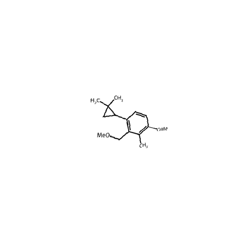 COCc1c(C2CC2(C)C)ccc(OC)c1C